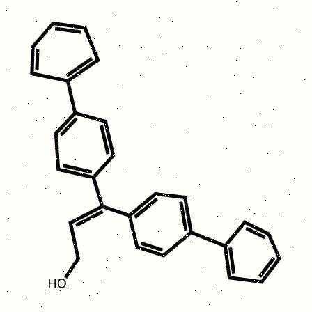 OCC=C(c1ccc(-c2ccccc2)cc1)c1ccc(-c2ccccc2)cc1